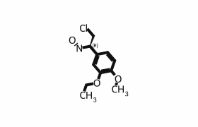 CCOc1cc([C@H](CCl)N=O)ccc1OC